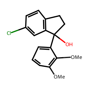 COc1cccc(C2(O)CCc3ccc(Cl)cc32)c1OC